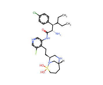 CCC(CC)[C@H](c1ccc(Cl)cc1)[C@H](N)C(=O)Nc1cncc(F)c1CC[C@H]1CN[C@@H]2CCCS(O)(O)N1C2